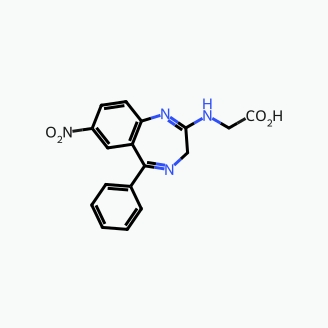 O=C(O)CNC1=Nc2ccc([N+](=O)[O-])cc2C(c2ccccc2)=NC1